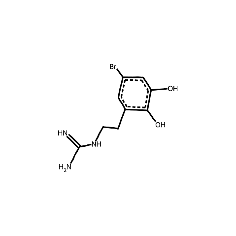 N=C(N)NCCc1cc(Br)cc(O)c1O